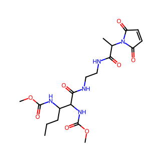 CCCC(NC(=O)OC)C(NC(=O)OC)C(=O)NCCNC(=O)C(C)N1C(=O)C=CC1=O